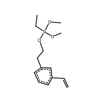 C=Cc1cccc(CCO[Si](CC)(OC)OC)c1